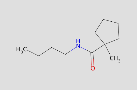 CCCCNC(=O)C1(C)CCCC1